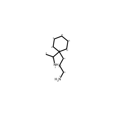 CC(N)C1(CCCN)CCCCC1